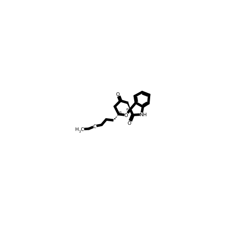 CCCCCC[C@@H]1CC(=O)C[C@]2(O1)C(=O)Nc1ccccc12